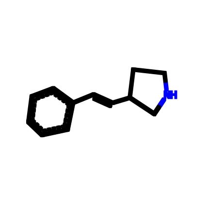 C(=CC1CCNC1)c1ccccc1